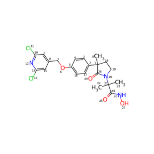 CC1(c2ccc(OCc3cc(Cl)nc(Cl)c3)cc2)CCN(C(C)(C)C(=O)NO)C1=O